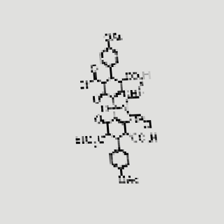 CCOC(=O)C1C(=O)C(P(=O)(C2=C(O)C(C(=O)O)C(c3ccc(OC(C)=O)cc3)C(C(=O)CC)C2=O)N(CCCl)CCCl)=C(O)C(C(=O)O)C1c1ccc(OC(C)=O)cc1